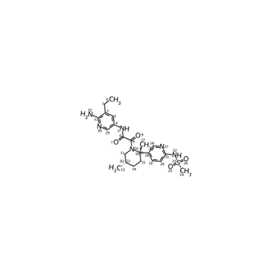 CCc1cc(NC(=O)C(=O)N2C[C@@H](C)CC[C@@]2(C)c2ccc(NS(C)(=O)=O)nc2)cnc1N